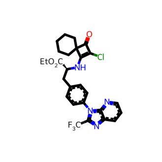 CCOC(=O)[C@H](Cc1ccc(-n2c(C(F)(F)F)nc3cccnc32)cc1)NC1=C(Cl)C(=O)C12CCCCC2